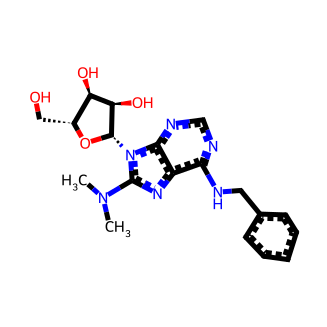 CN(C)c1nc2c(NCc3ccccc3)ncnc2n1[C@@H]1O[C@H](CO)[C@@H](O)[C@H]1O